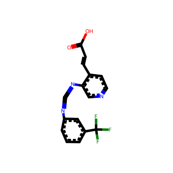 O=C(O)C=Cc1ccncc1N=C=Nc1cccc(C(F)(F)F)c1